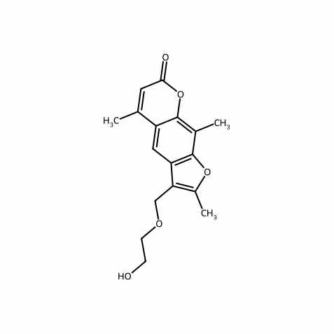 Cc1oc2c(C)c3oc(=O)cc(C)c3cc2c1COCCO